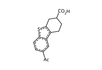 CC(=O)c1ccc2sc3c(c2c1)CCC(C(=O)O)C3